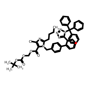 CCCCc1nc(Cl)c(C(=O)OCOC(=O)OC(C)(C)C)n1Cc1ccc(-c2ccccc2-c2nnnn2C(c2ccccc2)(c2ccccc2)c2ccccc2)cc1